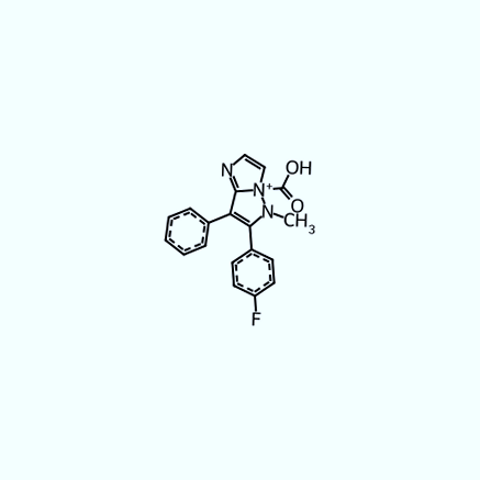 CN1C(c2ccc(F)cc2)=C(c2ccccc2)C2=NC=C[N+]21C(=O)O